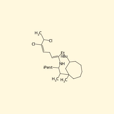 CCCCC1CCCCCC(C)(C(C)C(N/C(=C/C/C=C(/Cl)C(C)Cl)CC)C(C)CCC)C1